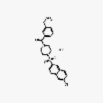 Cl.NCc1cccc(C(=O)N2CCN(S(=O)(=O)c3ccc4cc(Cl)ccc4c3)CC2)c1